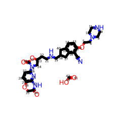 N#Cc1c(OCCN2CCNCC2)ccc2c1CC(CNCCC1CN(c3ccc4c(n3)NC(=O)CO4)C(=O)O1)C2.O=CO